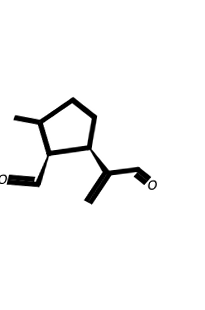 C=C(C=O)[C@@H]1CCC(C)[C@@H]1C=O